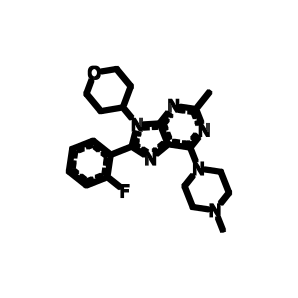 Cc1nc(N2CCN(C)CC2)c2nc(-c3ccccc3F)n(C3CCOCC3)c2n1